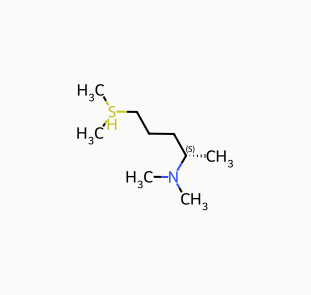 C[C@@H](CCC[SH](C)C)N(C)C